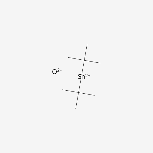 C[C](C)(C)[Sn+2][C](C)(C)C.[O-2]